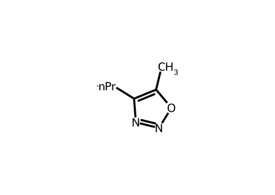 CC[CH]c1nnoc1C